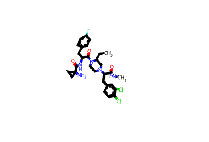 CCC1CN(C(Cc2ccc(Cl)c(Cl)c2)C(=O)NC)CCN1C(=O)C(Cc1ccc(F)cc1)NC(=O)C1(N)CC1